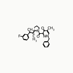 Cc1cn(Cc2ccccc2)nc(C(=O)N2CCC[C@H]2[C@H](C)[C@H](C)c2cccc(F)c2)c1=O